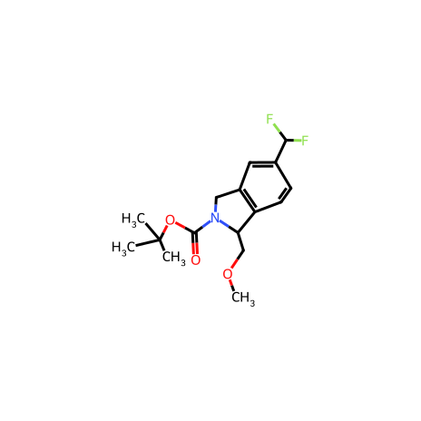 COCC1c2ccc(C(F)F)cc2CN1C(=O)OC(C)(C)C